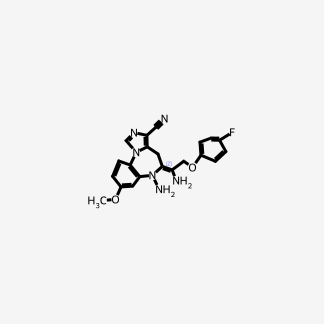 COc1ccc2c(c1)N(N)/C(=C(\N)COc1ccc(F)cc1)Cc1c(C#N)ncn1-2